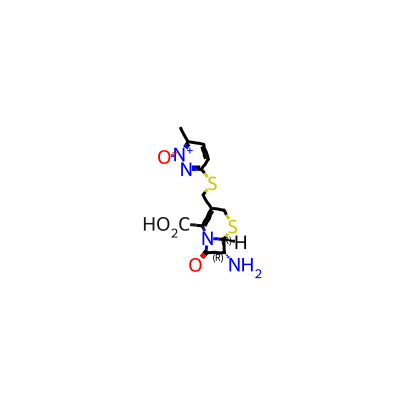 Cc1ccc(SCC2=C(C(=O)O)N3C(=O)[C@@H](N)[C@H]3SC2)n[n+]1[O-]